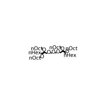 CCCCCCCCOC(CCCCCC)=C(COCOCOCC(OCCCCCCCC)=C(CCCCCC)OCCCCCCCC)OCCCCCCCC